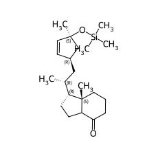 C[C@H](C[C@H]1C=C[C@@](C)(O[Si](C)(C)C)C1)[C@H]1CCC2C(=O)CCC[C@]21C